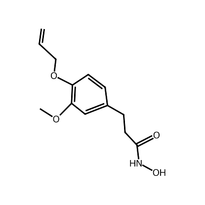 C=CCOc1ccc(CCC(=O)NO)cc1OC